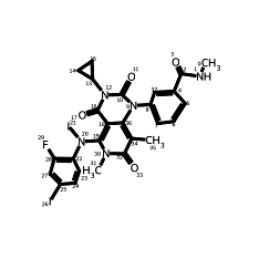 CNC(=O)c1cccc(-n2c(=O)n(C3CC3)c(=O)c3c(N(I)c4ccc(I)cc4F)n(C)c(=O)c(C)c32)c1